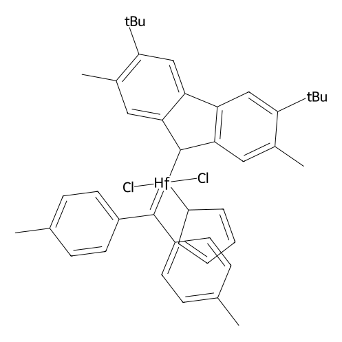 Cc1ccc([C](c2ccc(C)cc2)=[Hf]([Cl])([Cl])([CH]2C=CC=C2)[CH]2c3cc(C)c(C(C)(C)C)cc3-c3cc(C(C)(C)C)c(C)cc32)cc1